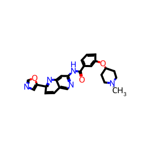 CN1CCC(Oc2cccc(C(=O)Nc3cc4nc(-c5cnco5)ccc4cn3)c2)CC1